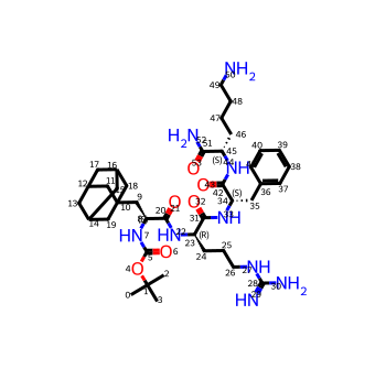 CC(C)(C)OC(=O)N[C@@H](CC12CC3CC(CC(C3)C1)C2)C(=O)N[C@H](CCCNC(=N)N)C(=O)N[C@@H](Cc1ccccc1)C(=O)N[C@@H](CCCCN)C(N)=O